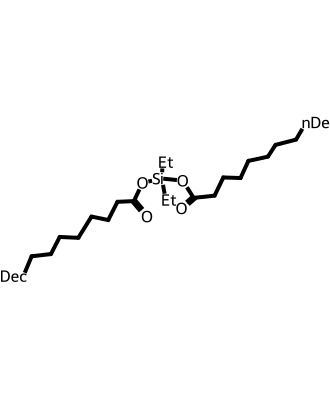 CCCCCCCCCCCCCCCCCC(=O)O[Si](CC)(CC)OC(=O)CCCCCCCCCCCCCCCCC